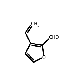 C=Cc1ccoc1C=O